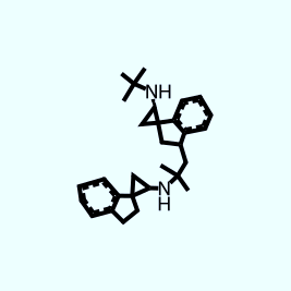 CC(C)(C)N[C@@H]1CC12CC(CC(C)(C)NC1CC13CCc1ccccc13)c1ccccc12